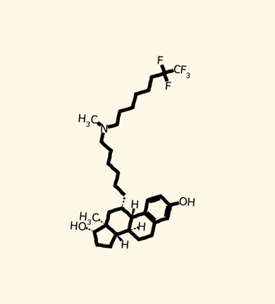 CN(CCCCCC[C@H]1C[C@]2(C)[C@@H](O)CC[C@H]2[C@@H]2CCc3cc(O)ccc3[C@@H]12)CCCCCCC(F)(F)C(F)(F)F